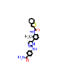 Cc1c(NC(=O)c2cc3c(s2)CCCC3)cccc1-c1ccnc(Nc2ccc(C(N)=O)cc2)n1